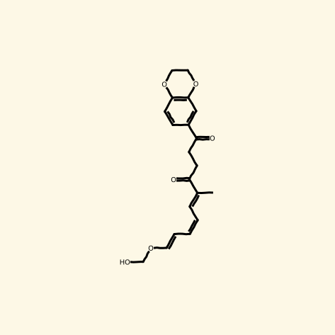 C\C(=C/C=C\C=C\OCO)C(=O)CCC(=O)c1ccc2c(c1)OCCO2